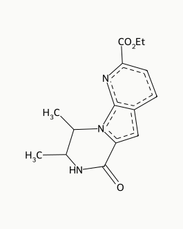 CCOC(=O)c1ccc2cc3n(c2n1)C(C)C(C)NC3=O